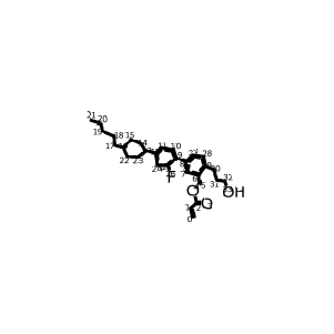 C=CC(=O)OCc1cc(-c2ccc(C3CCC(CCCCC)CC3)cc2F)ccc1CCCO